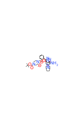 COCOc1ccccc1-c1cc(N2CC3CCC(C2)N3c2ccnc(OCCN3CCN(C(=O)OC(C)(C)C)C[C@H]3C)c2)c(N)nn1